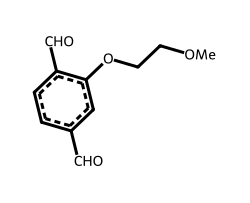 COCCOc1cc(C=O)ccc1C=O